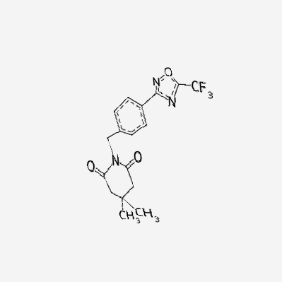 CC1(C)CC(=O)N(Cc2ccc(-c3noc(C(F)(F)F)n3)cc2)C(=O)C1